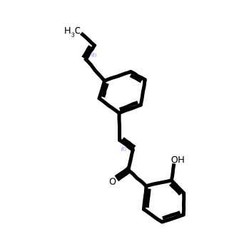 C/C=C/c1cccc(/C=C/C(=O)c2ccccc2O)c1